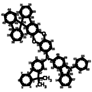 CC1(C)c2ccccc2-c2ccc(N(c3ccc4c(c3)Oc3cc5c(cc3O4)-c3ccccc3C53c4ccccc4-c4ccccc43)c3ccc4c(c3)c3ccccc3n4-c3ccccc3)cc21